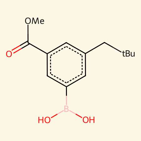 COC(=O)c1cc(CC(C)(C)C)cc(B(O)O)c1